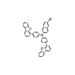 N#Cc1ccc2cc(N(c3ccc(-c4cccc5c4oc4ccccc45)cc3)c3ccc(-c4cccc5c4oc4ccccc45)cc3)ccc2c1